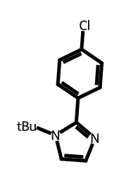 CC(C)(C)n1ccnc1-c1ccc(Cl)cc1